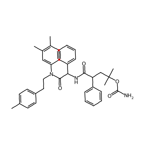 Cc1ccc(CCN(C(=O)C(NC(=O)C(CC(C)(C)OC(N)=O)c2ccccc2)c2ccccc2)c2ccc(C)c(C)c2)cc1